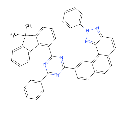 CC1(C)c2ccccc2-c2c(-c3nc(-c4ccccc4)nc(-c4ccc5ccc6ccc7nn(-c8ccccc8)nc7c6c5c4)n3)cccc21